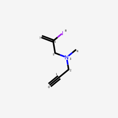 C#CCN(C)CC(=C)I